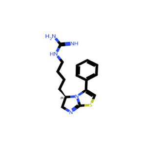 N=C(N)NCCCC[C@@H]1CN=C2SC=C(c3ccccc3)N21